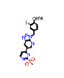 COc1ccc(Cn2nnc3cc(-c4ccnc(S(C)(=O)=O)n4)cnc32)cc1F